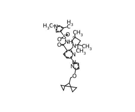 Cc1cn(C)cc1S(=O)(=O)NC(=O)c1ccc(-n2ccc(OCC3C4(CC4)C34CC4)n2)nc1N1C[C@@H](C)CC1(C)C